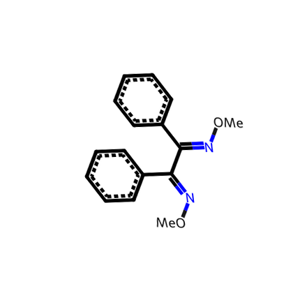 CO/N=C(/C(=N/OC)c1ccccc1)c1ccccc1